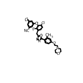 Cc1cc(OCCN2CCOCC2)ccc1-c1nnc(Cc2ccc(Cl)c(Oc3cc(Cl)cc(C#N)c3)c2F)o1